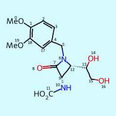 COc1ccc(CN2C(=O)[C@@H](NC(=O)O)[C@H]2C(O)CO)cc1OC